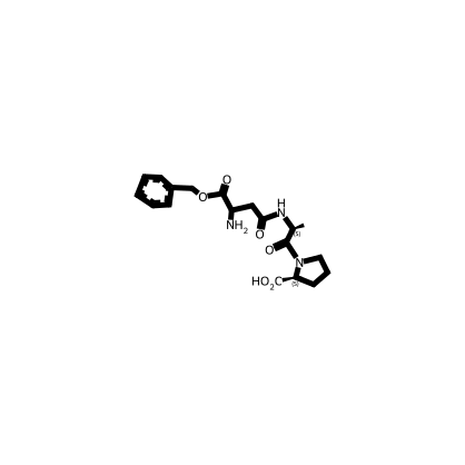 C[C@H](NC(=O)CC(N)C(=O)OCc1ccccc1)C(=O)N1CCC[C@H]1C(=O)O